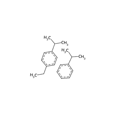 CC(C)c1ccccc1.CCc1ccc(C(C)C)cc1